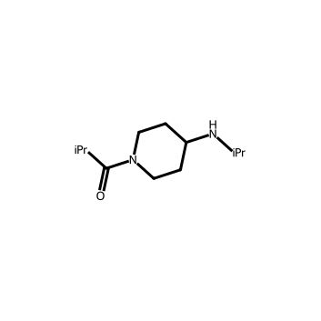 CC(C)NC1CCN(C(=O)C(C)C)CC1